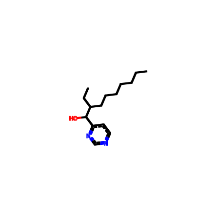 CCCCCCCC(CC)C(O)c1ccncn1